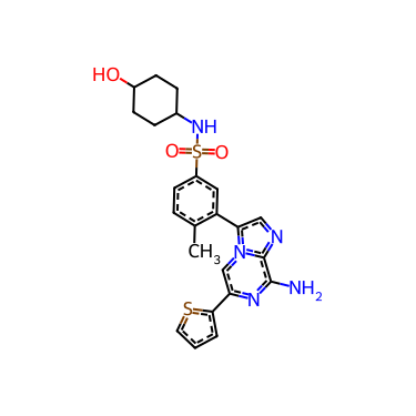 Cc1ccc(S(=O)(=O)NC2CCC(O)CC2)cc1-c1cnc2c(N)nc(-c3cccs3)cn12